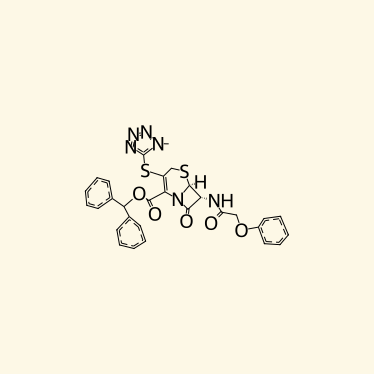 Cn1nnnc1SC1=C(C(=O)OC(c2ccccc2)c2ccccc2)N2C(=O)[C@@H](NC(=O)COc3ccccc3)[C@@H]2SC1